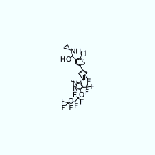 Cn1nc(OC(F)(F)C(F)OC(F)(F)F)c(C(F)(F)F)c1-n1cc(-c2cc(C(O)NC3CC3)c(Cl)s2)cn1